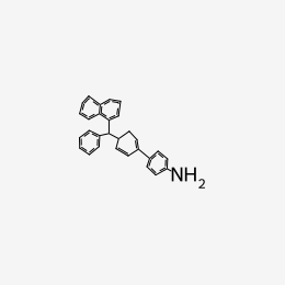 Nc1ccc(C2=CCC(C(c3ccccc3)c3cccc4ccccc34)C=C2)cc1